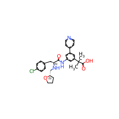 CC(C)(C(=O)O)c1cc(NC(=O)[C@H](Cc2ccc(Cl)cc2)NC[C@@H]2CCCO2)cc(-c2ccncc2)c1